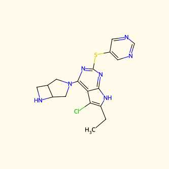 CCc1[nH]c2nc(Sc3cncnc3)nc(N3CC4CNC4C3)c2c1Cl